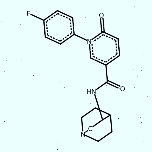 O=C(NC1CN2CCC1CC2)c1ccc(=O)n(-c2ccc(F)cc2)c1